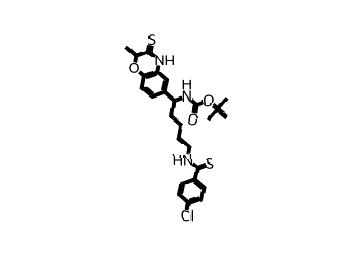 CC1Oc2ccc(C(CCCCNC(=S)c3ccc(Cl)cc3)NC(=O)OC(C)(C)C)cc2NC1=S